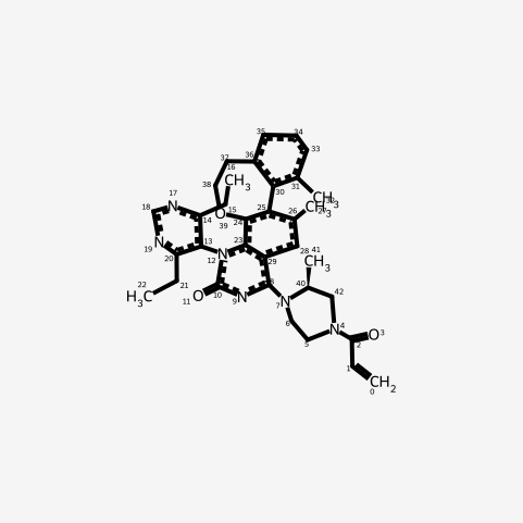 C=CC(=O)N1CCN(c2nc(=O)n(-c3c(CC)ncnc3CC)c3c4c(c(C)cc23)-c2c(C)cccc2CCO4)[C@@H](C)C1